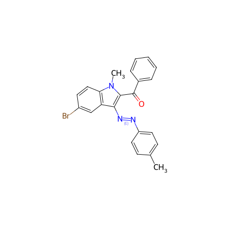 Cc1ccc(/N=N/c2c(C(=O)c3ccccc3)n(C)c3ccc(Br)cc23)cc1